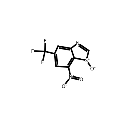 O=[N+]([O-])c1cc(C(F)(F)F)cc2nc[s+]([O-])c12